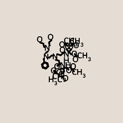 CC(=O)OCC(COC(C)=O)(COC(C)=O)NC(=O)CCN(CCC(=O)NC(COC(C)=O)(COC(C)=O)COC(C)=O)CCN(CCN(CCC=O)CCC=O)Cc1ccccc1